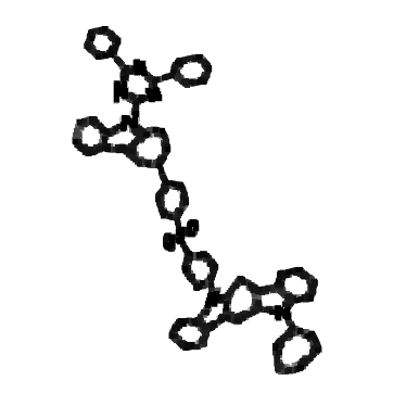 O=S(=O)(c1ccc(-c2ccc3c(c2)c2ccccc2n3-c2nc(-c3ccccc3)nc(-c3ccccc3)n2)cc1)c1ccc(-n2c3ccccc3c3cc4c(cc32)c2ccccc2n4-c2ccccc2)cc1